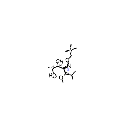 CO[C@H](/C(=N/OCS(C)(C)C)[C@@H](O)[C@@H](C)O)C(C)C